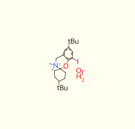 CC(C)(C)c1cc(I)c2c(c1)C[N+](C)(C)C1(CCC(C(C)(C)C)CC1)O2.O.[I-]